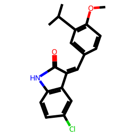 COc1ccc(C=C2C(=O)Nc3ccc(Cl)cc32)cc1C(C)C